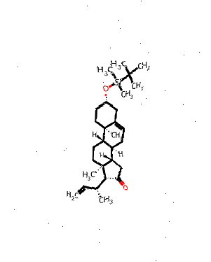 C=C[C@@H](C)[C@H]1C(=O)C[C@H]2[C@@H]3CC=C4C[C@@H](O[Si](C)(C)C(C)(C)C)CC[C@]4(C)[C@H]3CC[C@]12C